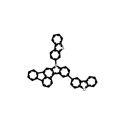 c1ccc2c(c1)-c1cccc3c1c-2cc1c3c2cc(-c3ccc4oc5ccccc5c4c3)ccc2n1-c1ccc2c(c1)sc1ccccc12